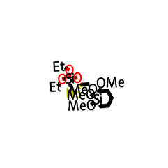 CCO[Si](C)(OCC)OC(C)S.COC1(OC)CCCC[Si]1(OC)OC